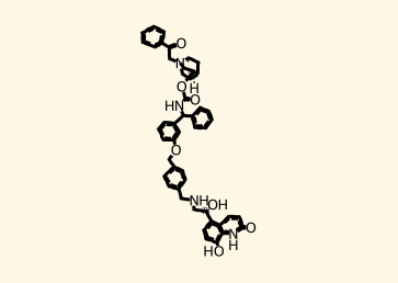 O=C(NC(c1ccccc1)c1cccc(OCc2ccc(CNC[C@H](O)c3ccc(O)c4[nH]c(=O)ccc34)cc2)c1)O[C@H]1C[N+]2(CC(=O)c3ccccc3)CCC1CC2